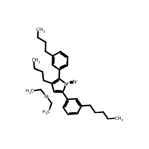 CCCCCc1cccc(C2=CC(CCCC)=C(c3cccc(CCCC)c3)[N+]2=[N-])c1.C[CH2][Ni][CH2]C